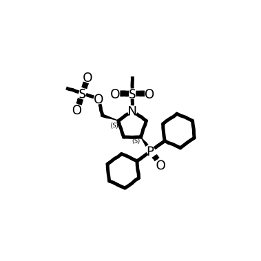 CS(=O)(=O)OC[C@@H]1C[C@H](P(=O)(C2CCCCC2)C2CCCCC2)CN1S(C)(=O)=O